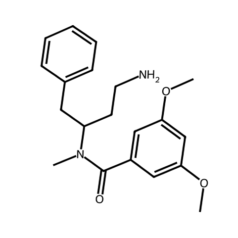 COc1cc(OC)cc(C(=O)N(C)C(CCN)Cc2ccccc2)c1